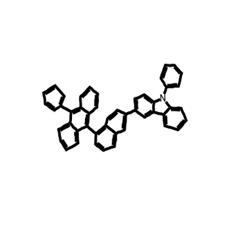 c1ccc(-c2c3ccccc3c(-c3cccc4cc(-c5ccc6c(c5)c5ccccc5n6-c5ccccc5)ccc34)c3ccccc23)cc1